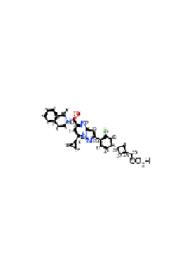 C[C@@H]1c2ccccc2CCN1C(=O)c1cc(C2CC2)n2nc(-c3ccc([C@H]4C[C@H](CC(=O)O)C4)cc3F)cc2n1